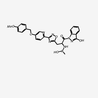 COc1ccc(COc2ccc(-c3noc(CC(NB(C)O)C(=O)n4nc(O)c5ccccc54)n3)nc2)cc1